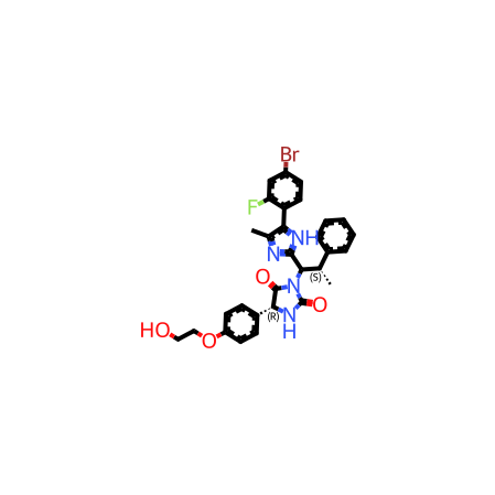 Cc1nc(C([C@@H](C)c2ccccc2)N2C(=O)N[C@H](c3ccc(OCCO)cc3)C2=O)[nH]c1-c1ccc(Br)cc1F